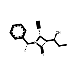 C#C[C@@H]1[C@H]([C@@H](O)CC)C(=O)N1[C@H](C)c1ccccc1